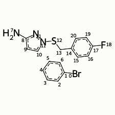 Brc1ccccc1.Nc1ccn(SCc2ccc(F)cc2)n1